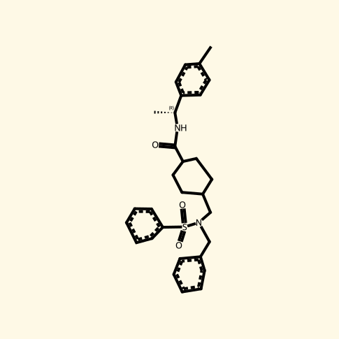 Cc1ccc([C@@H](C)NC(=O)C2CCC(CN(Cc3ccccc3)S(=O)(=O)c3ccccc3)CC2)cc1